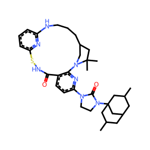 CC1CC2CC(C)CC(N3CCN(c4ccc5c(n4)N4CC(CCCNc6cccc(n6)SNC5=O)CC4(C)C)C3=O)(C1)C2